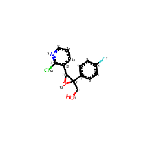 OCC1(c2ccc(F)cc2)OC1c1cccnc1Cl